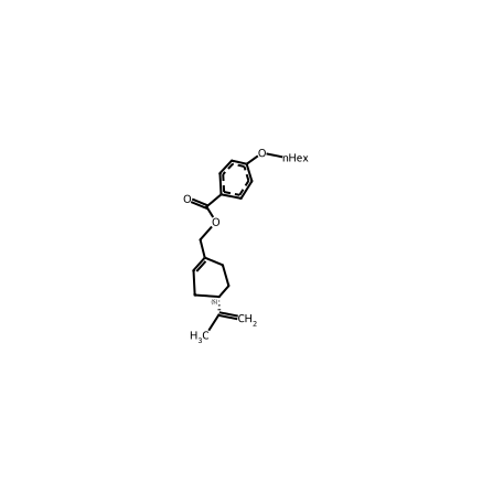 C=C(C)[C@@H]1CC=C(COC(=O)c2ccc(OCCCCCC)cc2)CC1